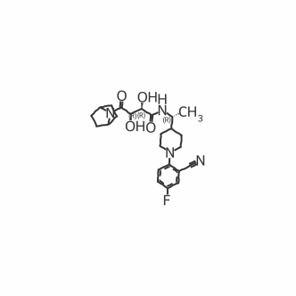 C[C@@H](NC(=O)[C@H](O)[C@@H](O)C(=O)N1C2CCC1CC2)C1CCN(c2ccc(F)cc2C#N)CC1